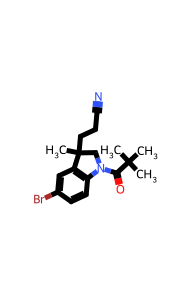 CC(C)(C)C(=O)N1CC(C)(CCC#N)c2cc(Br)ccc21